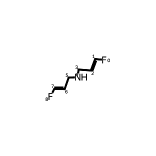 FC=CCNCC=CF